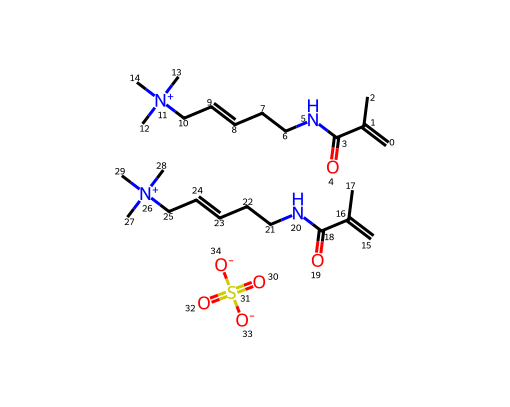 C=C(C)C(=O)NCCC=CC[N+](C)(C)C.C=C(C)C(=O)NCCC=CC[N+](C)(C)C.O=S(=O)([O-])[O-]